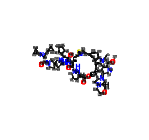 CCn1c(-c2cc(N3CCN4CCOC[C@@H]4C3)cnc2[C@H](C)OC)c2c3cc(ccc31)-c1csc(n1)C[C@H](NC(=O)C(C1CCCC1)N1CC[C@]3(CCN(C(=O)[C@H]4C(C5CC5)N4C4CC4)C3)C1)C(=O)N1CCC[C@H](N1)C(=O)OCC(C)(C)C2